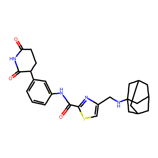 O=C1CCC(c2cccc(NC(=O)c3nc(CNC45CC6CC(CC(C6)C4)C5)cs3)c2)C(=O)N1